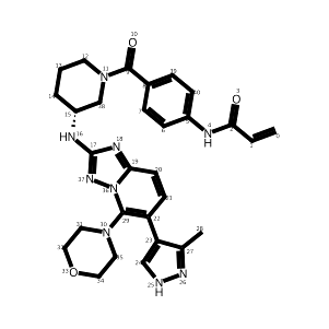 C=CC(=O)Nc1ccc(C(=O)N2CCC[C@@H](Nc3nc4ccc(-c5c[nH]nc5C)c(N5CCOCC5)n4n3)C2)cc1